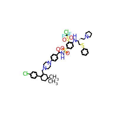 CC1(C)CCC(c2ccc(Cl)cc2)=C(CN2CCN(c3ccc(C(=O)NS(=O)(=O)c4ccc(N[C@H](CCN5CCCC5)CSc5ccccc5)c(S(=O)(=O)C(F)(F)Cl)c4)cc3)CC2)C1